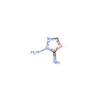 N=c1o[c]nn1N